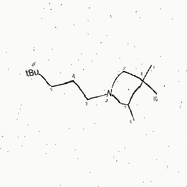 CC1N(CCCC(C)(C)C)CC1(C)C